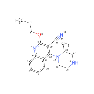 CCCOc1nc2ccccc2c(N2CCNCC2C)c1C#N